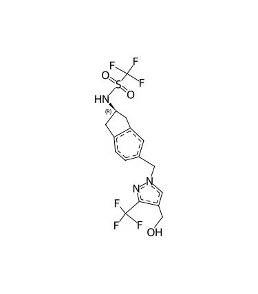 O=S(=O)(N[C@@H]1Cc2ccc(Cn3cc(CO)c(C(F)(F)F)n3)cc2C1)C(F)(F)F